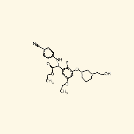 CCOC(=O)C(Nc1ccc(C#N)cc1)c1cc(OCC)cc(O[C@@H]2CCCN(CCO)C2)c1F